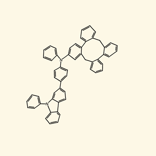 c1ccc(N(c2ccc(-c3ccc4c5ccccc5n(-c5ccccc5)c4c3)cc2)c2ccc3c(c2)Cc2ccccc2-c2ccccc2Cc2ccccc2-3)cc1